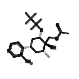 CC(=O)OC[C@]1(O)[C@H](C)C[C@H](c2ccncc2N)C[C@@H]1O[Si](C)(C)C(C)(C)C